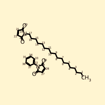 CCCCCCCCCCCCCCCCCCN1C(=O)C=CC1=O.O=C1C=CC(=O)N1c1ccccc1